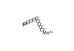 [Cl-].[Cl-].[Cl-].[Cl-].[Cl-].[Cl-].[Cl-].[Cl-].[Cl-].[Mo+4].[V+5]